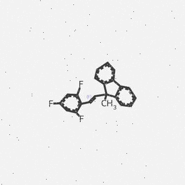 CC1(/C=C/c2c(F)cc(F)cc2F)c2ccccc2-c2ccccc21